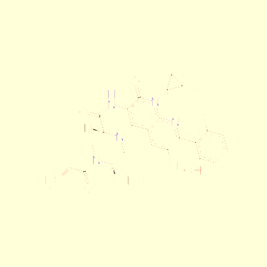 C=CC(=O)N1C[C@@H]2C(=O)Nc3c(c4cc(Cl)c(-c5c(O)cccc5F)nc4n([C@@H]4C[C@@H]4F)c3=O)N2C[C@H]1C